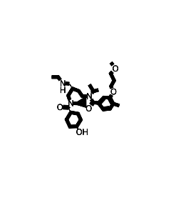 CCNC[C@H](CCN(C(=O)c1ccc(C)c(OCCCOC)c1)C(C)C)CN(C(=O)[C@H]1CC[C@@H](O)CC1)C1CC1